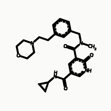 CN(Cc1cccc(CCN2CCOCC2)c1)C(=O)c1cc(C(=O)NC2CC2)c[nH]c1=O